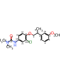 COc1cccc(C(C)COc2ccc(NC(=O)N(C)C)cc2Cl)c1